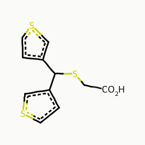 O=C(O)CSC(c1ccsc1)c1ccsc1